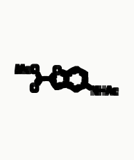 COC(=O)c1cc2cc(NC(C)=O)ccc2o1